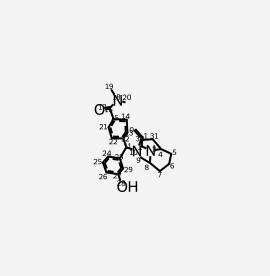 C=CCN1C2CCCC1CN(C(c1ccc(C(=O)N(C)C)cc1)c1cccc(O)c1)CC2